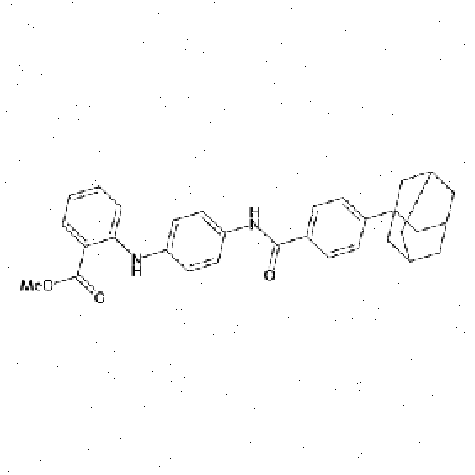 COC(=O)c1ccccc1Nc1ccc(NC(=O)c2ccc(C34CC5CC(CC(C5)C3)C4)cc2)cc1